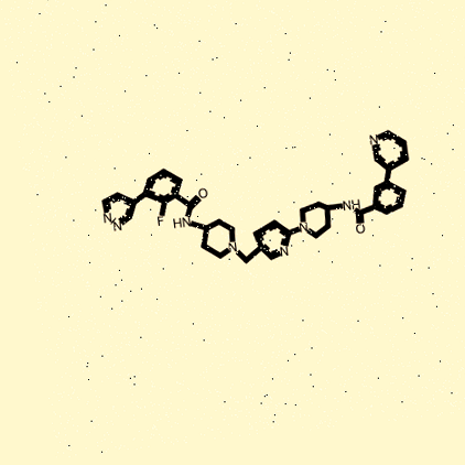 O=C(NC1CCN(c2ccc(CN3CCC(NC(=O)c4cccc(-c5ccnnc5)c4F)CC3)cn2)CC1)c1cccc(-c2cccnc2)c1